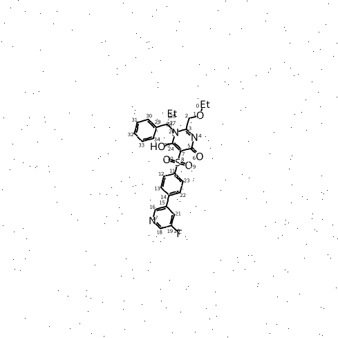 CCOCc1nc(=O)c(S(=O)(=O)c2ccc(-c3cncc(F)c3)cc2)c(O)n1[C@@H](CC)c1ccccc1